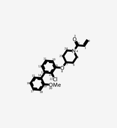 C=CC(=O)N1CCC(Oc2cccc(-c3ccccc3OC)c2Cl)CC1